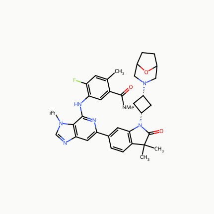 CNC(=O)c1cc(Nc2nc(-c3ccc4c(c3)N([C@H]3C[C@@H](N5CC6CCC(C5)O6)C3)C(=O)C4(C)C)cc3ncn(C(C)C)c23)c(F)cc1C